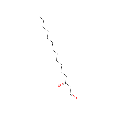 CCCCCCCCCCCCC(=O)CC=O